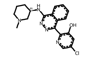 CN1CCC[C@@H](Nc2nnc(-c3ncc(Cl)cc3O)c3ccccc23)C1